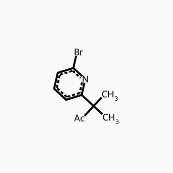 CC(=O)C(C)(C)c1cccc(Br)n1